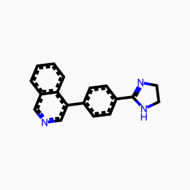 c1ccc2c(-c3ccc(C4=NCCN4)cc3)cncc2c1